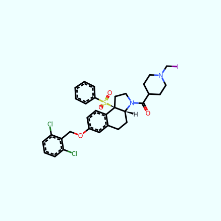 O=C(C1CCN(CI)CC1)N1CC[C@@]2(S(=O)(=O)c3ccccc3)c3ccc(OCc4c(Cl)cccc4Cl)cc3CC[C@@H]12